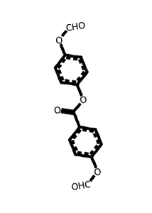 O=COc1ccc(OC(=O)c2ccc(OC=O)cc2)cc1